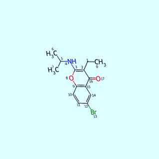 CCc1c(NC(C)C)oc2ccc(Br)cc2c1=O